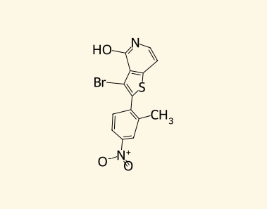 Cc1cc([N+](=O)[O-])ccc1-c1sc2ccnc(O)c2c1Br